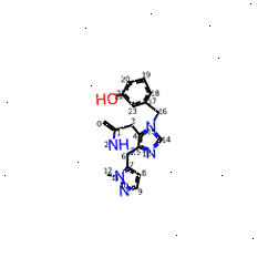 C=C(N)Cc1c(Cc2ccnn2C)ncn1Cc1cccc(O)c1